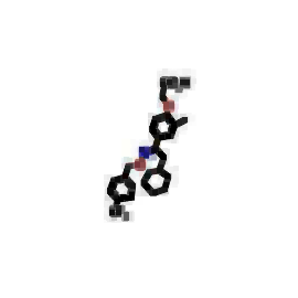 Cc1cc(/C(CC2CCCCC2)=N/OCc2ccc(C(F)(F)F)cc2)ccc1OCC(=O)O